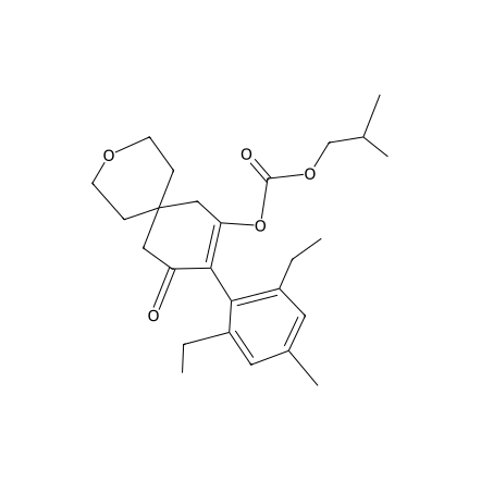 CCc1cc(C)cc(CC)c1C1=C(OC(=O)OCC(C)C)CC2(CCOCC2)CC1=O